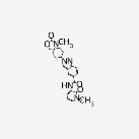 CN1C(=O)OCC12CCC(n1cc3cc(C(=O)Nc4cccn(C)c4=O)ccc3n1)CC2